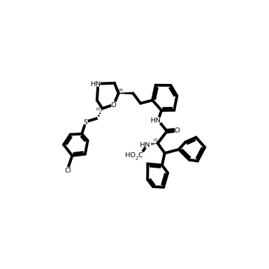 O=C(O)N[C@H](C(=O)Nc1ccccc1CC[C@@H]1CNC[C@@H](CSc2ccc(Cl)cc2)O1)C(c1ccccc1)c1ccccc1